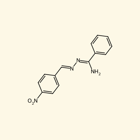 N/C(=N\N=C\c1ccc([N+](=O)[O-])cc1)c1ccccc1